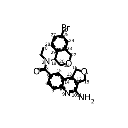 CCN(C(=O)c1ccc2nc(N)c3c(c2c1)COC3)[C@H]1COCc2cc(Br)ccc21